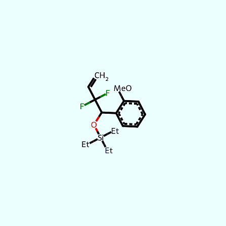 C=CC(F)(F)C(O[Si](CC)(CC)CC)c1ccccc1OC